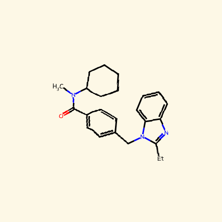 CCc1nc2ccccc2n1Cc1ccc(C(=O)N(C)C2CCCCC2)cc1